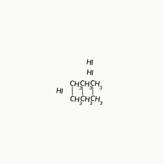 CC.CC.CC.I.I.I